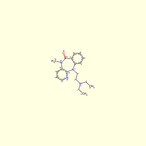 CCN(CC)CCN1c2ccccc2C(=O)N(C)c2cccnc21